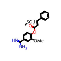 COc1cc(C(=N)N)ccc1OC(=O)C=Cc1ccccc1.CS(=O)(=O)O